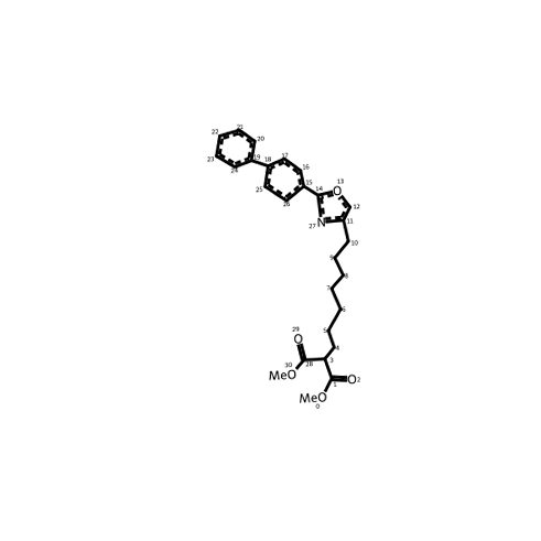 COC(=O)C(CCCCCCCc1coc(-c2ccc(-c3ccccc3)cc2)n1)C(=O)OC